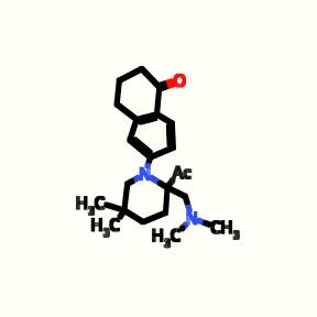 CC(=O)C1(CN(C)C)CCC(C)(C)CN1c1ccc2c(c1)CCCC2=O